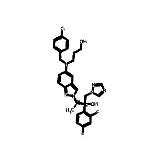 C[C@@H](n1cc2cc(N(CCCO)Cc3ccc(Cl)cc3)ccc2n1)[C@](O)(Cn1cncn1)c1ccc(F)cc1F